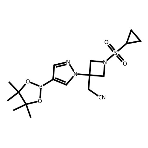 CC1(C)OB(c2cnn(C3(CC#N)CN(S(=O)(=O)C4CC4)C3)c2)OC1(C)C